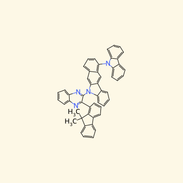 CC1(C)c2ccccc2-c2cccc(-c3nc4ccccc4nc3-n3c4ccccc4c4cc5c(-n6c7ccccc7c7ccccc76)cccc5cc43)c21